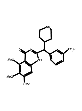 COc1cc2[nH]c(C(c3cccc(C(=O)O)c3)C3CCNCC3)nc(=O)c2c(OC)c1OC